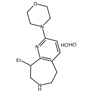 CCC1CNCCc2ccc(N3CCOCC3)nc21.Cl.Cl